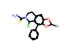 CCC1Oc2cc3c(c(-c4ccccc4)c2O1)C(Cl)N(C(N)=S)CC3